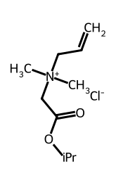 C=CC[N+](C)(C)CC(=O)OC(C)C.[Cl-]